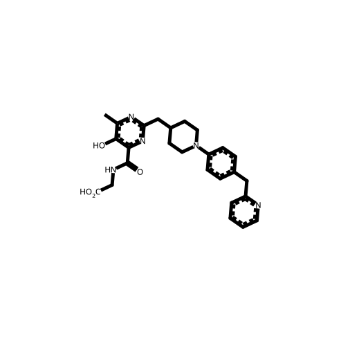 Cc1nc(CC2CCN(c3ccc(Cc4ccccn4)cc3)CC2)nc(C(=O)NCC(=O)O)c1O